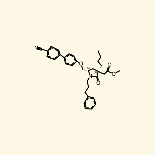 CCCC[C@@]1(CC(=O)OC)C[C@@H](COc2ccc(-c3ccc(C#N)cc3)cc2)N(CCCc2ccccc2)C1=O